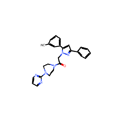 N#Cc1cccc(-c2cc(-c3ccccc3)nn2CC(=O)N2CCN(c3ncccn3)CC2)c1